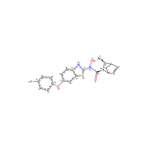 CC(=O)[C@H]1C2C=CC(C2)[C@H]1C(=O)N(O)c1nc2ccc(Oc3ccc(F)cc3)cc2s1